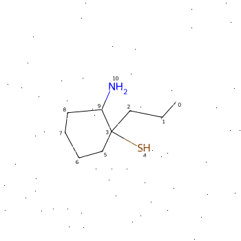 CCCC1(S)CCCCC1N